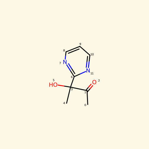 CC(=O)C(C)(O)c1ncccn1